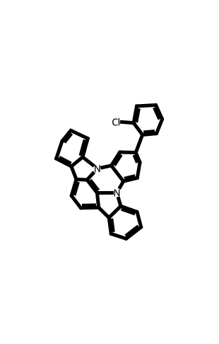 Clc1ccccc1-c1ccc2c(c1)n1c3ccccc3c3ccc4c5ccccc5n2c4c31